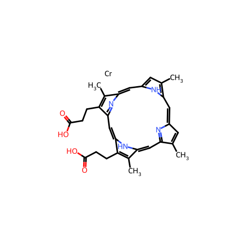 CC1=Cc2cc3[nH]c(cc4nc(cc5[nH]c(cc1n2)c(C)c5CCC(=O)O)C(CCC(=O)O)=C4C)cc3C.[Cr]